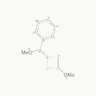 COC1CC(C(OC)c2ccccc2)C1